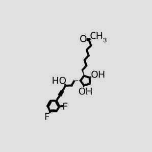 CC(=O)CCCCCC[C@@H]1[C@@H](CCC(O)C#Cc2ccc(F)cc2F)[C@H](O)C[C@@H]1O